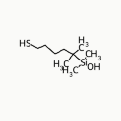 CC(C)(CCCCS)[Si](C)(C)O